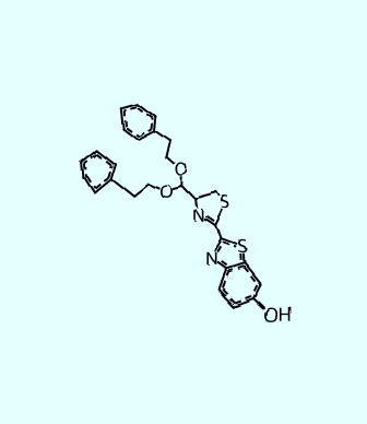 Oc1ccc2nc(C3=NC(C(OCCc4ccccc4)OCCc4ccccc4)CS3)sc2c1